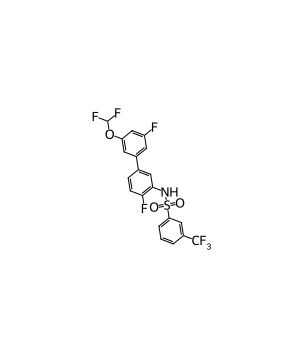 O=S(=O)(Nc1cc(-c2cc(F)cc(OC(F)F)c2)ccc1F)c1cccc(C(F)(F)F)c1